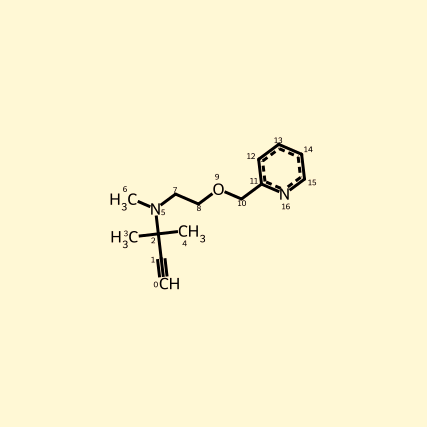 C#CC(C)(C)N(C)CCOCc1ccccn1